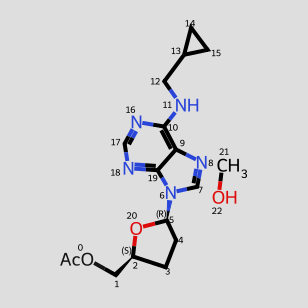 CC(=O)OC[C@@H]1CC[C@H](n2cnc3c(NCC4CC4)ncnc32)O1.CO